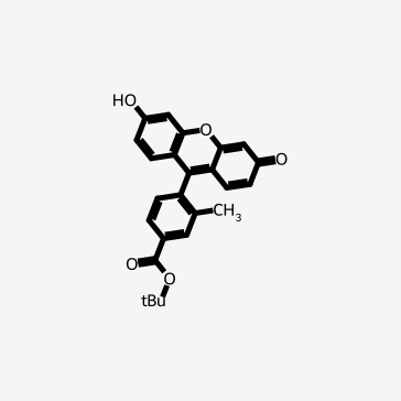 Cc1cc(C(=O)OC(C)(C)C)ccc1-c1c2ccc(=O)cc-2oc2cc(O)ccc12